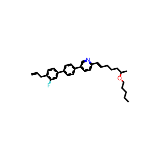 C=CCc1ccc(-c2ccc(-c3ccc(C=CCCCC(C)OCCCCC)nc3)cc2)cc1F